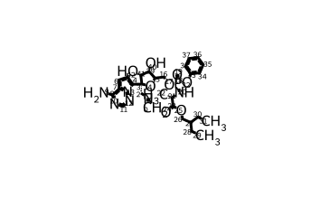 C=NC[C@@]1(c2ccc3c(N)ncnn23)OC(COP(=O)(N[C@@H](C)C(=O)OCC(CC)CC)Oc2ccccc2)[C@@H](O)[C@H]1O